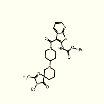 CCN1C(=O)C2(CCCN(C3CCN(C(=O)c4c(NC(=O)OC(C)(C)C)sc5ncccc45)CC3)C2)N=C1C